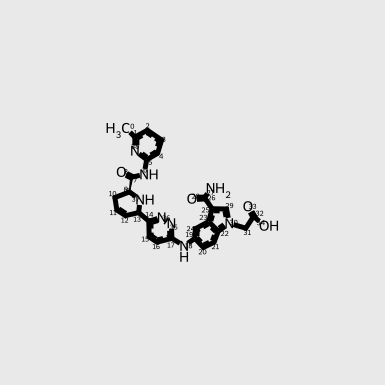 Cc1cccc(NC(=O)[C@@H]2CC=CC(c3ccc(Nc4ccc5c(c4)c(C(N)=O)cn5CC(=O)O)nn3)N2)n1